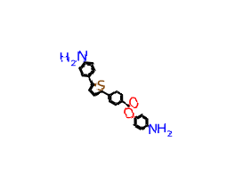 Nc1ccc(OC(=O)c2ccc(-c3ccc(-c4ccc(N)cc4)s3)cc2)cc1